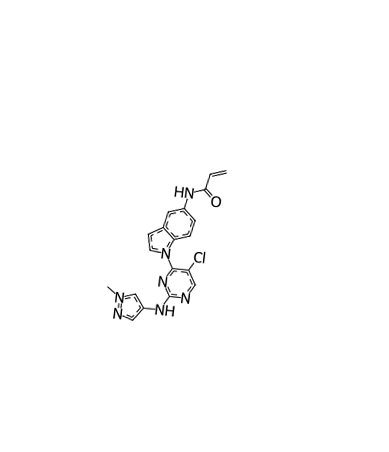 C=CC(=O)Nc1ccc2c(ccn2-c2nc(Nc3cnn(C)c3)ncc2Cl)c1